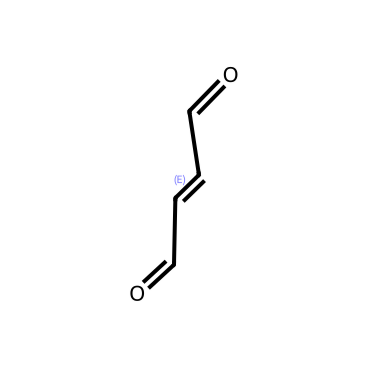 O=C/C=C/C=O